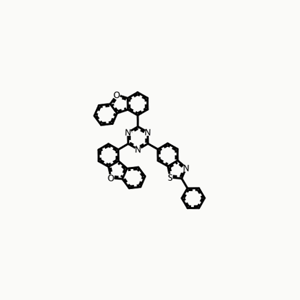 c1ccc(-c2nc3ccc(-c4nc(-c5cccc6oc7ccccc7c56)nc(-c5cccc6oc7ccccc7c56)n4)cc3s2)cc1